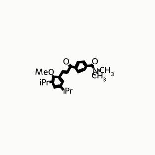 COc1c(C=CC(=O)c2ccc(C(=O)N(C)C)cc2)cc(C(C)C)cc1C(C)C